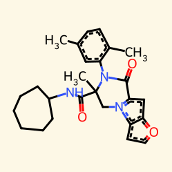 Cc1ccc(C)c(N2C(=O)c3cc4occc4n3CC2(C)C(=O)NC2CCCCCC2)c1